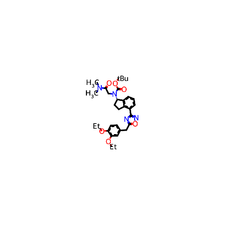 CCOc1ccc(Cc2nc(-c3cccc4c3CC[C@@H]4N(CC(=O)N(C)C)C(=O)OC(C)(C)C)no2)cc1OCC